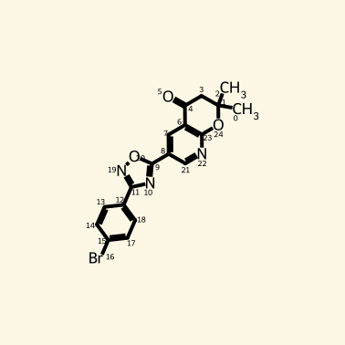 CC1(C)CC(=O)c2cc(-c3nc(-c4ccc(Br)cc4)no3)cnc2O1